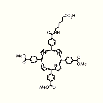 COC(=O)c1ccc(C2=C3C=CC(=N3)C(c3ccc(C(=O)OC)cc3)=C3C=CC(=N3)C(c3ccc(C(=O)OC)cc3)=C3C=CC(=N3)C(c3ccc(C(=O)NCCCCCC(=O)O)cc3)=C3C=CC2=N3)cc1